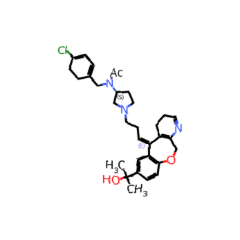 CC(=O)N(CC1=CC=C(Cl)CC1)[C@H]1CCN(CC/C=C2\C3=C(COc4ccc(C(C)(C)O)cc42)N=CCC3)C1